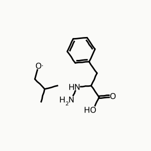 CC(C)C[O].NNC(Cc1ccccc1)C(=O)O